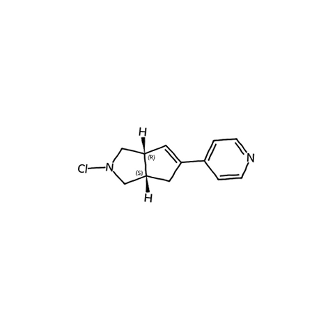 ClN1C[C@H]2CC(c3ccncc3)=C[C@H]2C1